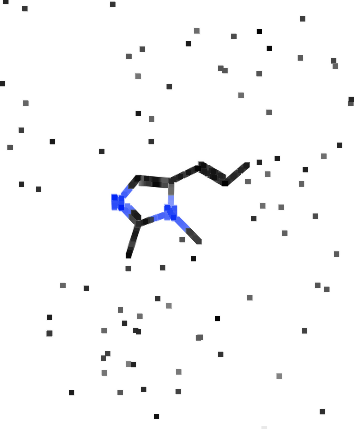 CC=Cc1cnc(C)n1C